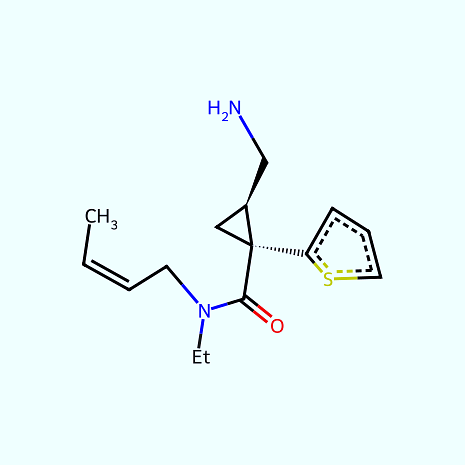 C/C=C\CN(CC)C(=O)[C@@]1(c2cccs2)C[C@H]1CN